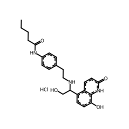 CCCCC(=O)Nc1ccc(CCNC(CO)c2ccc(O)c3[nH]c(=O)ccc23)cc1.Cl